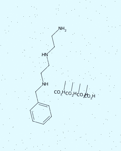 CC(=O)O.CC(=O)O.CC(=O)O.CC(=O)O.NCCNCCNCc1ccccc1